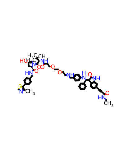 CCNC(=O)C#Cc1ccc2c(c1)NC(=O)/C2=C(\Nc1ccc(CNCCOCCOCCC(=O)N[C@H](C(=O)N2C[C@H](O)C[C@H]2C(=O)NCc2ccc(-c3scnc3C)cc2)C(C)(C)C)cc1)c1ccccc1